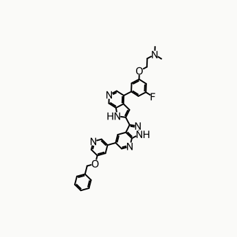 CN(C)CCOc1cc(F)cc(-c2cncc3[nH]c(-c4n[nH]c5ncc(-c6cncc(OCc7ccccc7)c6)cc45)cc23)c1